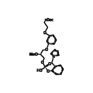 CCCCCCCCCCCCOc1cccc(OCC(COP(=O)(O)Oc2ccccc2C[n+]2ccsc2)OC)c1